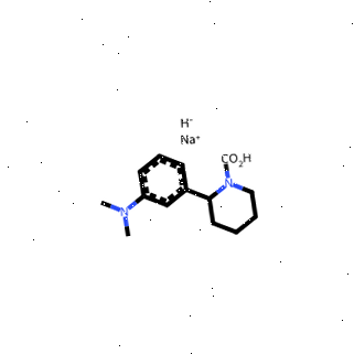 CN(C)c1cccc(C2CCCCN2C(=O)O)c1.[H-].[Na+]